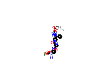 CC(=O)OCc1nnn([C@H](c2ccccc2)C2CCN(C(=O)c3cc(-c4nc5cc(NC(=O)COF)ccc5o4)ccn3)CC2)n1